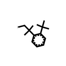 CC(C)(C)c1ccccc1C(C)(C)CI